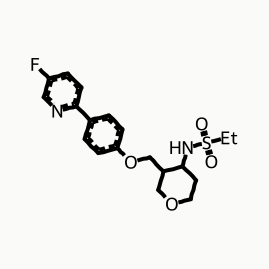 CCS(=O)(=O)NC1CCOCC1COc1ccc(-c2ccc(F)cn2)cc1